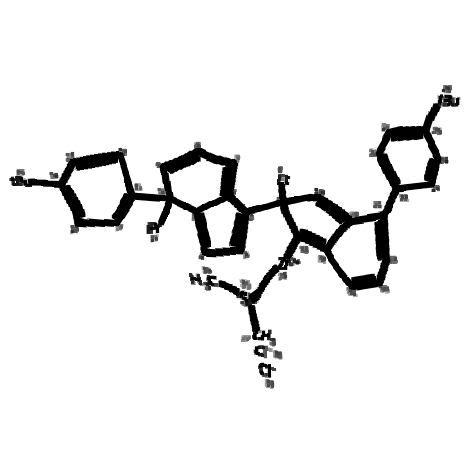 CCC1(C2=CC=C3C2=CC=CC3(c2ccc(C(C)(C)C)cc2)C(C)C)C=c2c(-c3ccc(C(C)(C)C)cc3)cccc2=[C]1[Zr+2][Si](C)C.[Cl-].[Cl-]